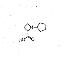 O=C(O)C1CCN1C1CCCC1